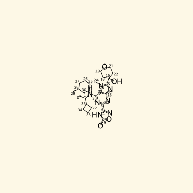 C[C@@H](Nc1nc(-c2noc(=O)[nH]2)nc2nc(C3(O)CCOCC3)n(C[C@H]3CC[C@H](C)CC3)c12)C1CCC1